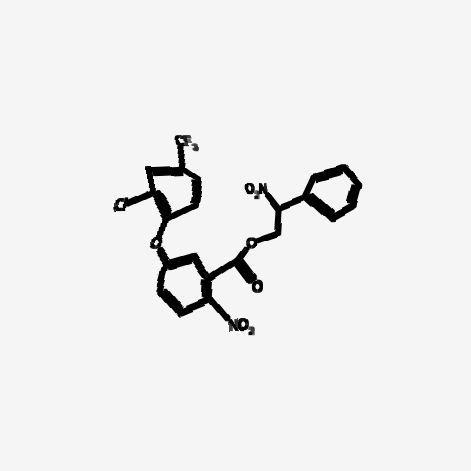 O=C(OCC(c1ccccc1)[N+](=O)[O-])c1cc(Oc2ccc(C(F)(F)F)cc2Cl)ccc1[N+](=O)[O-]